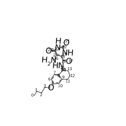 CCCCOc1ccc2c(c1)CCC[C@@H]2NC(=O)c1[nH]c(=O)[nH]c(=O)c1N